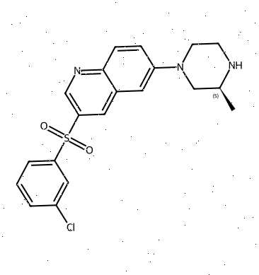 C[C@H]1CN(c2ccc3ncc(S(=O)(=O)c4cccc(Cl)c4)cc3c2)CCN1